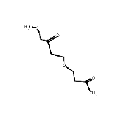 CSCC(=O)CCOCCC(C)=O